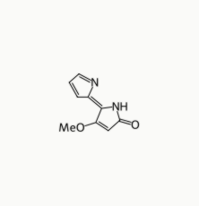 COC1=CC(=O)NC1=C1C=CC=N1